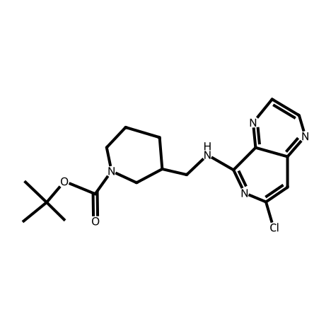 CC(C)(C)OC(=O)N1CCCC(CNc2nc(Cl)cc3nccnc23)C1